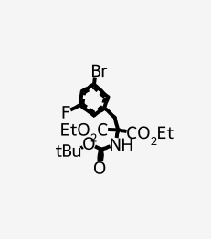 CCOC(=O)C(Cc1cc(F)cc(Br)c1)(NC(=O)OC(C)(C)C)C(=O)OCC